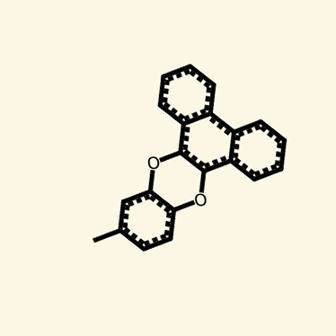 Cc1ccc2c(c1)Oc1c(c3ccccc3c3ccccc13)O2